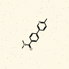 Cc1ccc(-c2ccc(C(=O)N(C)C)cc2)cn1